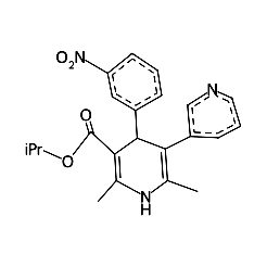 CC1=C(C(=O)OC(C)C)C(c2cccc([N+](=O)[O-])c2)C(c2cccnc2)=C(C)N1